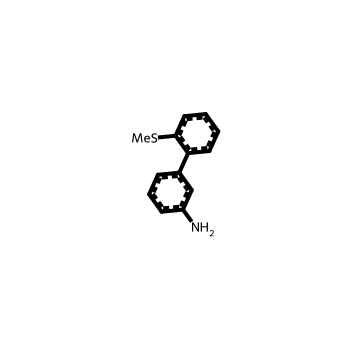 CSc1ccccc1-c1cccc(N)c1